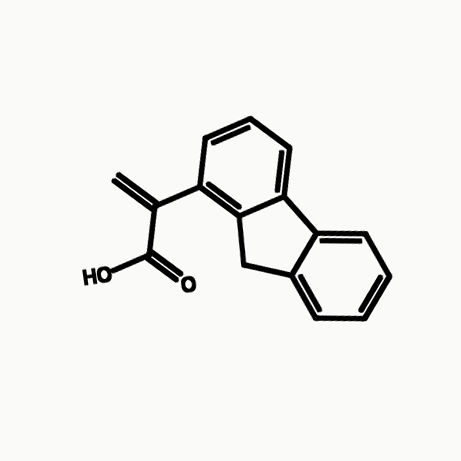 C=C(C(=O)O)c1cccc2c1Cc1ccccc1-2